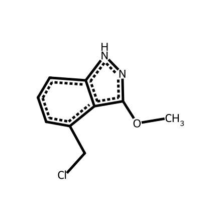 COc1n[nH]c2cccc(CCl)c12